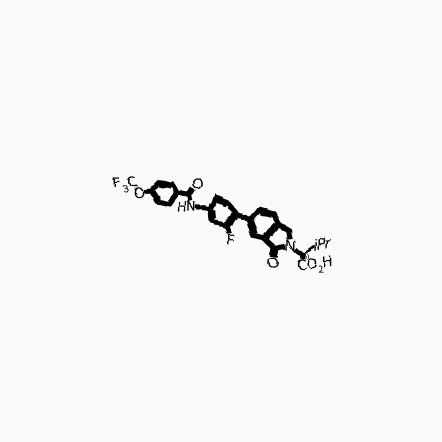 CC(C)[C@@H](C(=O)O)N1Cc2ccc(-c3ccc(NC(=O)c4ccc(OC(F)(F)F)cc4)cc3F)cc2C1=O